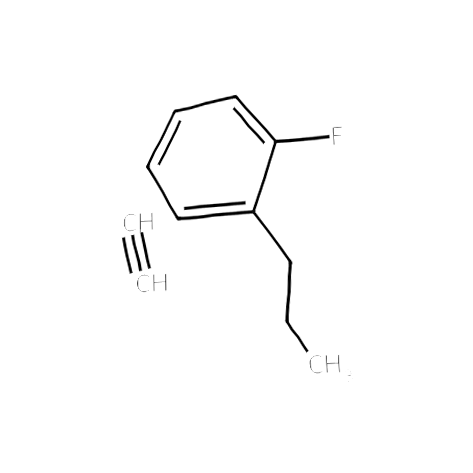 C#C.CCCc1ccccc1F